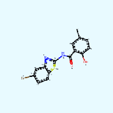 Cc1ccc(O)c(C(=O)Nc2nc3cc(Br)ccc3s2)c1